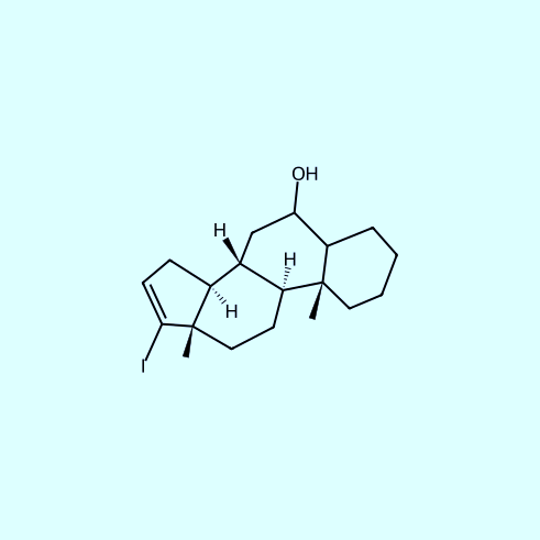 C[C@]12CCCCC1C(O)C[C@@H]1[C@@H]2CC[C@]2(C)C(I)=CC[C@@H]12